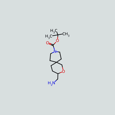 CC(C)(C)OC(=O)N1CCC2(CCC(CN)OC2)CC1